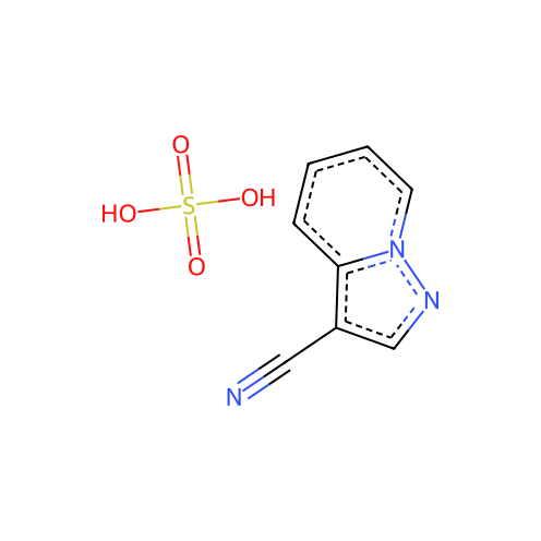 N#Cc1cnn2ccccc12.O=S(=O)(O)O